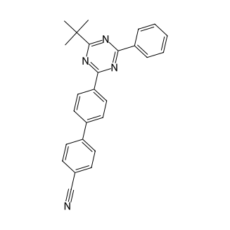 CC(C)(C)c1nc(-c2ccccc2)nc(-c2ccc(-c3ccc(C#N)cc3)cc2)n1